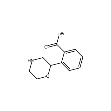 CCCC(=O)c1ccccc1C1CNCCO1